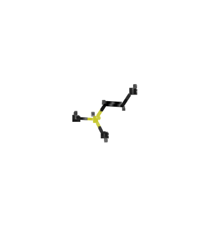 CCC=C[S+](CC)CC